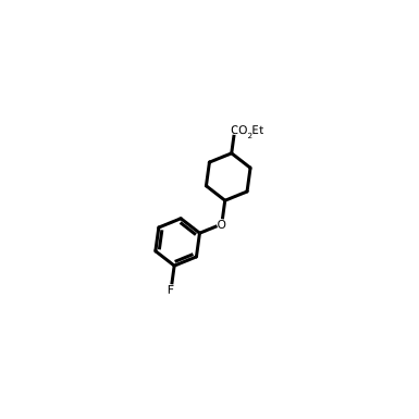 CCOC(=O)C1CCC(Oc2cccc(F)c2)CC1